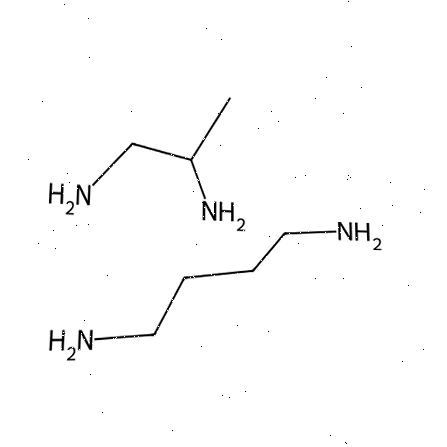 CC(N)CN.NCCCCN